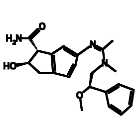 CO[C@@H](CN(C)C(C)=Nc1ccc2c(c1)[C@@H](C(N)=O)[C@H](O)C2)c1ccccc1